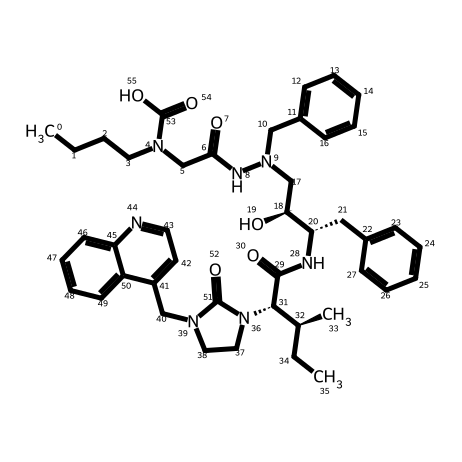 CCCCN(CC(=O)NN(Cc1ccccc1)C[C@H](O)[C@H](Cc1ccccc1)NC(=O)[C@H]([C@@H](C)CC)N1CCN(Cc2ccnc3ccccc23)C1=O)C(=O)O